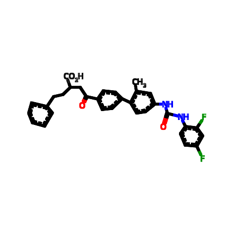 Cc1cc(NC(=O)Nc2ccc(F)cc2F)ccc1-c1ccc(C(=O)CC(CCc2ccccc2)C(=O)O)cc1